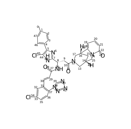 Cc1ccc(-c2nc([C@H](CC(=O)N3C[C@@H]4C[C@H](C3)c3cccc(=O)n3C4)NC(=O)/C=C/c3cc(Cl)ccc3-n3cnnn3)[nH]c2Cl)cc1